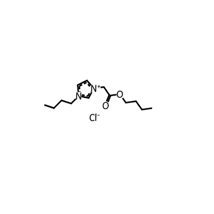 CCCCOC(=O)C[n+]1ccn(CCCC)c1.[Cl-]